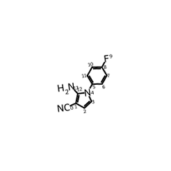 N#Cc1ccn(-c2ccc(F)cc2)c1N